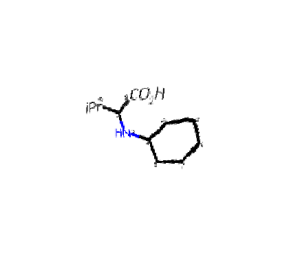 CC(C)C(NC1CCCCC1)C(=O)O